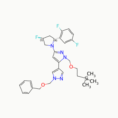 C[Si](C)(C)CCOCn1nc(N2C[C@@H](F)C[C@@H]2c2cc(F)ccc2F)cc1-c1cnn(COCc2ccccc2)c1